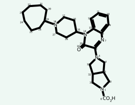 O=C(O)N1CC2CN(c3nc4ccccc4n(C4CCN(C5CCCCCCC5)CC4)c3=O)CC2C1